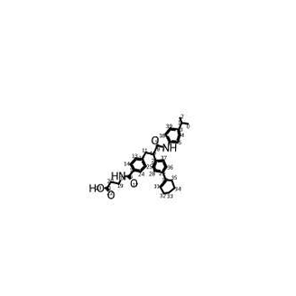 CC(C)c1ccc(NC(=O)C(Cc2ccc(C(=O)NCCC(=O)O)cc2)c2ccc(C3=CCCCC3)cc2)cc1